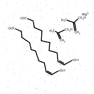 C=C(C)C(=O)O.C=C(C)C(=O)O.CCCCCCCC/C=C\CCCCCCCC(=O)[O-].CCCCCCCC/C=C\CCCCCCCC(=O)[O-].[Mg+2]